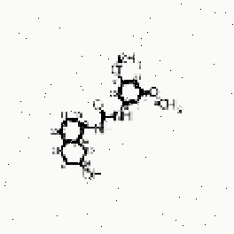 COc1cc(NC(=O)Nc2cccc3c2CC(O)CC3)cc(OC)c1